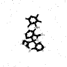 Cc1cc(C)c(C)c(Nc2cccc3c2C(=O)OC32c3ccccc3Oc3ccccc32)c1C